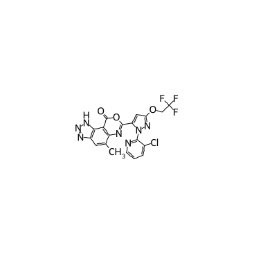 Cc1cc2nn[nH]c2c2c(=O)oc(-c3cc(OCC(F)(F)F)nn3-c3ncccc3Cl)nc12